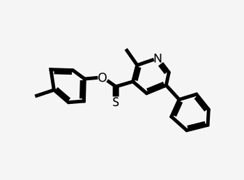 Cc1ccc(OC(=S)c2cc(-c3ccccc3)cnc2C)cc1